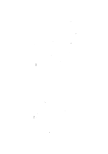 CC(NCCCc1c[nH]c2ccccc12)c1csc2ccccc12